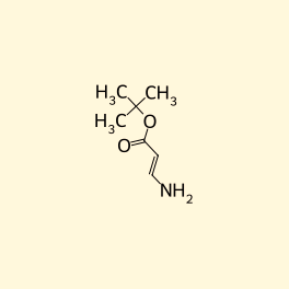 CC(C)(C)OC(=O)/C=C/N